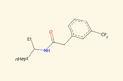 CCCCCCCC(CC)NC(=O)Cc1cccc(C(F)(F)F)c1